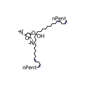 CCCCC/C=C\C/C=C\CCCCCCCCC(O)(CCCCCCCC/C=C\C/C=C\CCCCC)O[C@H]1C[C@@H](CN(C)C)O[C@H]1CN(C)C